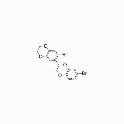 Brc1[c]cc2c(c1)OC(c1cc3c(cc1Br)OCCO3)CO2